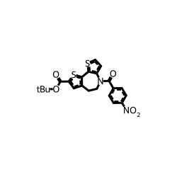 CC(C)(C)OC(=O)c1cc2c(s1)-c1sccc1N(C(=O)c1ccc([N+](=O)[O-])cc1)CC2